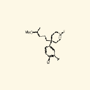 COC(C)CCCC1(c2ccc(Cl)c(F)c2)CC[SiH](F)CC1